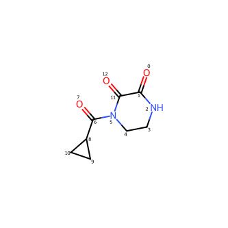 O=C1NCCN(C(=O)C2CC2)C1=O